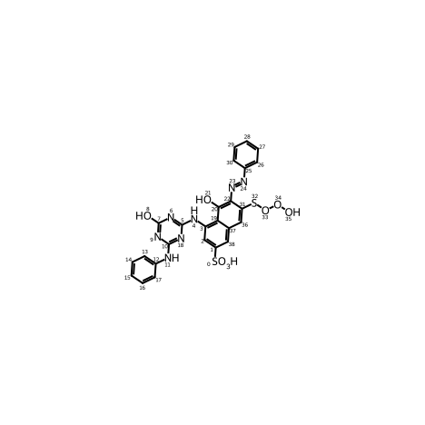 O=S(=O)(O)c1cc(Nc2nc(O)nc(Nc3ccccc3)n2)c2c(O)c(/N=N/c3ccccc3)c(SOOO)cc2c1